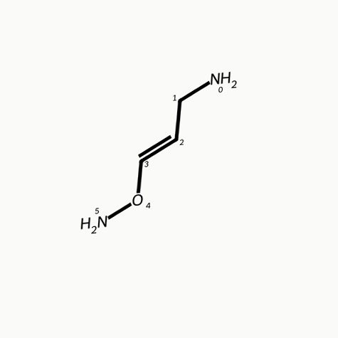 NCC=CON